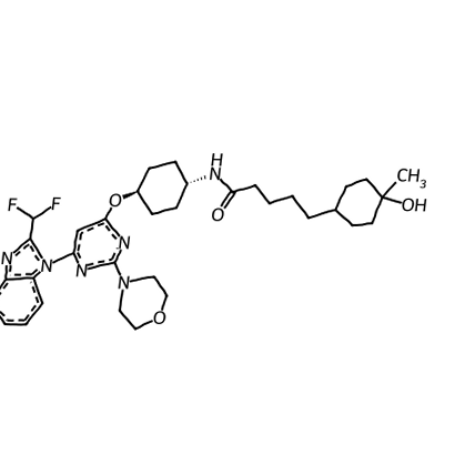 CC1(O)CCC(CCCCC(=O)N[C@H]2CC[C@H](Oc3cc(-n4c(C(F)F)nc5ccccc54)nc(N4CCOCC4)n3)CC2)CC1